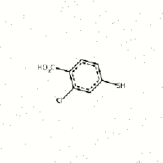 O=C(O)c1ccc(S)cc1Cl